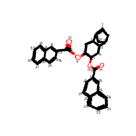 O=C(OC1CC2C3CCC(C3)C2CC1OC(=O)c1ccc2ccccc2c1)c1ccc2ccccc2c1